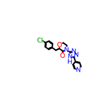 O=C1C(Cc2ccc(Cl)cc2)OCCN1c1nnc(-c2ccncc2)[nH]1